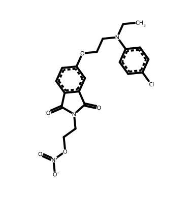 CCN(CCOc1ccc2c(c1)C(=O)N(CCO[N+](=O)[O-])C2=O)c1ccc(Cl)cc1